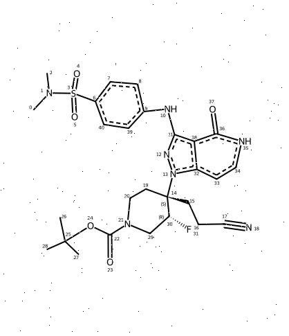 CN(C)S(=O)(=O)c1ccc(Nc2nn([C@@]3(CCC#N)CCN(C(=O)OC(C)(C)C)C[C@H]3F)c3cc[nH]c(=O)c23)cc1